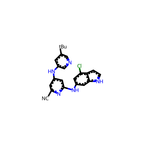 CC(C)(C)c1cncc(Nc2cc(C#N)nc(Nc3cc(Cl)c4cc[nH]c4c3)c2)c1